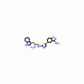 Nc1noc2ccc(-c3cnc(NC[C@@H](N)Cc4c[nH]c5ccccc45)s3)cc12